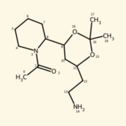 CC(=O)N1CCCCC1C1CC(CCN)OC(C)(C)O1